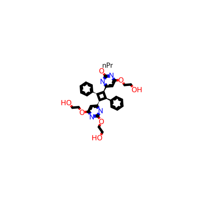 CCCOc1nc(OCCO)cc([C@H]2[C@@H](c3ccccc3)[C@H](c3cc(OCCO)nc(OCCO)n3)[C@@H]2c2ccccc2)n1